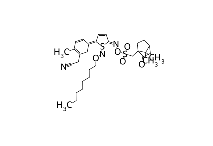 CCCCCCCCON=S1C(=NOS(=O)(=O)CC23CCC(CC2=O)C3(C)C)C=CC1=C1C=CC(C)=C(CC#N)C1